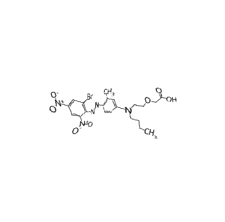 CCCCN(CCOCC(=O)O)c1ccc(N=Nc2c(Br)cc([N+](=O)[O-])cc2[N+](=O)[O-])c(C)c1